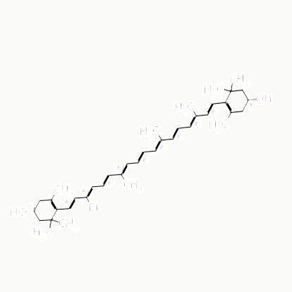 CCC(/C=C/C1=C(C)C[C@@H](O)CC1(C)C)=C\C=C\C(C)=C\C=C\C=C(C)\C=C\C=C(C)\C=C\C1=C(C)C[C@H](O)CC1(C)C